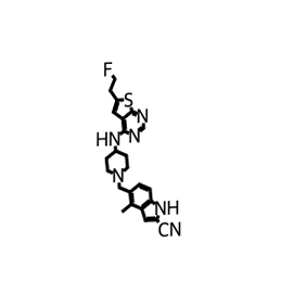 Cc1c(CN2CCC(Nc3ncnc4sc(CCF)cc34)CC2)ccc2[nH]c(C#N)cc12